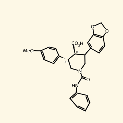 COc1ccc([C@H]2CN(C(=O)Nc3ccccc3)CC(c3ccc4c(c3)OCO4)[C@@H]2C(=O)O)cc1